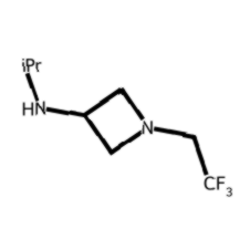 CC(C)NC1CN(CC(F)(F)F)C1